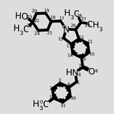 Cc1ccc(CNC(=O)c2ccc3c(c2)CN(CC2CCC(C)(O)CC2)C3C(C)C)cc1